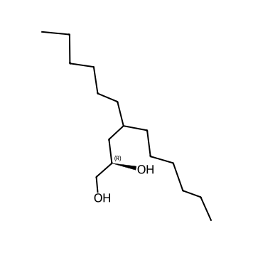 CCCCCCC(CCCCCC)C[C@@H](O)CO